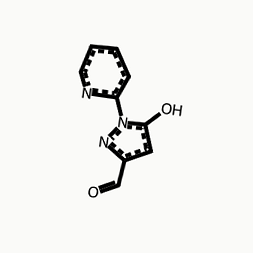 O=Cc1cc(O)n(-c2ccccn2)n1